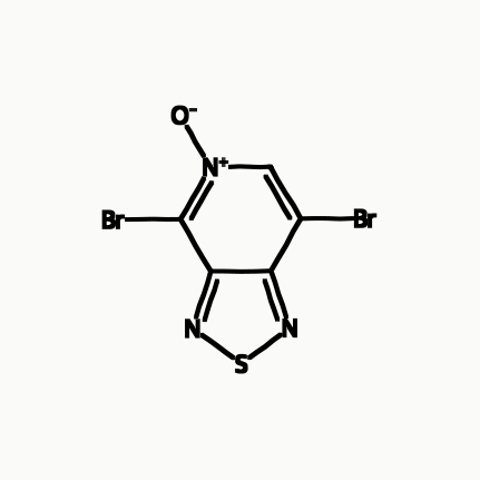 [O-][n+]1cc(Br)c2nsnc2c1Br